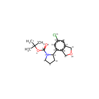 CC(C)(C)OC(=O)N1CCCC1c1cc(Cl)cc2c1COC2